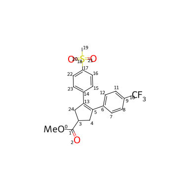 COC(=O)C1CC(c2ccc(C(F)(F)F)cc2)=C(c2ccc(S(C)(=O)=O)cc2)C1